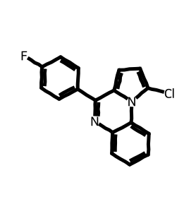 Fc1ccc(-c2nc3ccccc3n3c(Cl)ccc23)cc1